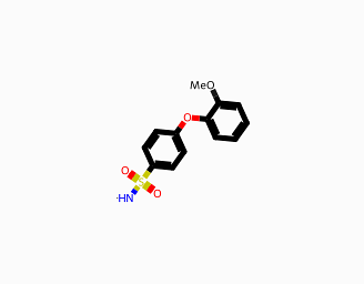 COc1ccccc1Oc1ccc(S([NH])(=O)=O)cc1